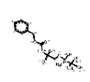 CC(C)(CO[Si](C)(C)C(C)(C)C)NC(=O)OCc1ccccc1